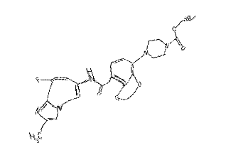 Cc1cn2cc(NC(=O)c3ccc(N4CCN(C(=O)OC(C)(C)C)CC4)c4c3OCO4)cc(F)c2n1